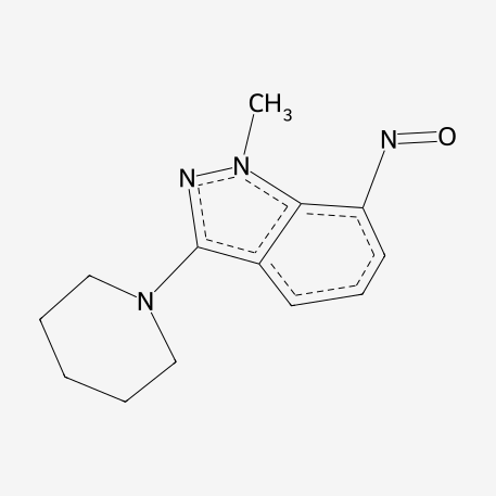 Cn1nc(N2CCCCC2)c2cccc(N=O)c21